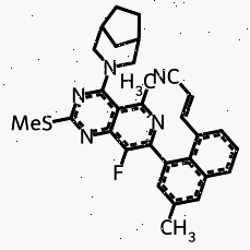 CSc1nc(N2CC3CCC(C3)C2)c2c(C)nc(-c3cc(C)cc4cccc(/C=C/C#N)c34)c(F)c2n1